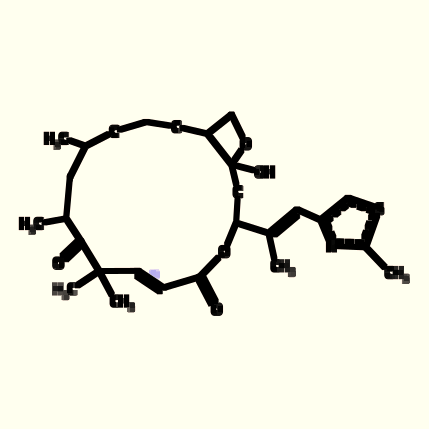 CC(=Cc1csc(C)n1)C1CC2(O)OCC2CCCC(C)CC(C)C(=O)C(C)(C)/C=C/C(=O)O1